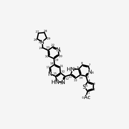 CC(=O)c1ccc(-c2nccc3[nH]c(-c4n[nH]c5ncc(-c6cncc(CN7CCCC7)c6)cc45)cc23)s1